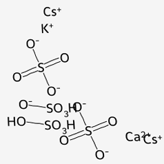 O=S(=O)(O)O.O=S(=O)([O-])O.O=S(=O)([O-])[O-].O=S(=O)([O-])[O-].[Ca+2].[Cs+].[Cs+].[K+]